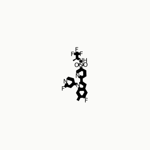 Cc1cc2c(cc1F)cc(-c1ccc(S(=O)(=O)N[C@@H](C)C(F)(F)F)cn1)n2-c1ccnc(F)c1